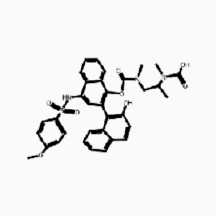 COc1ccc(S(=O)(=O)Nc2cc(-c3c(O)ccc4ccccc34)c(OC(=O)N(C)CC(C)N(C)C(=O)O)c3ccccc23)cc1